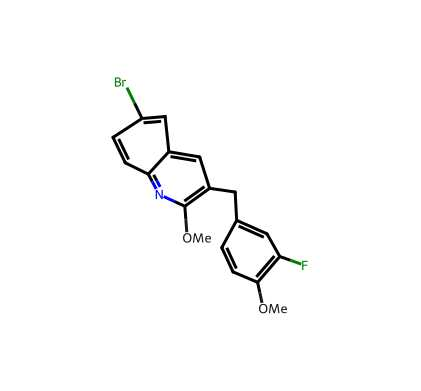 COc1ccc(Cc2cc3cc(Br)ccc3nc2OC)cc1F